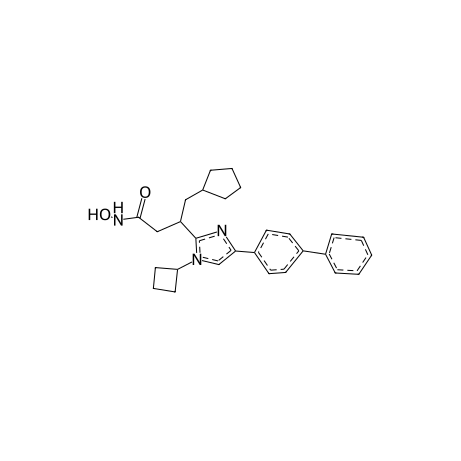 O=C(CC(CC1CCCC1)c1nc(-c2ccc(-c3ccccc3)cc2)cn1C1CCC1)NO